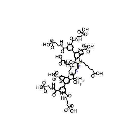 CC1(C)C(/C=C/C=C2/N(CCCCCC(=O)O)c3c(cc(-c4cc(C(=O)NCCS(=O)(=O)O)nc(C(=O)NCCS(=O)(=O)O)c4)c4sc(S(=O)(=O)O)cc34)C2(C)C)=[N+](CCCCCC(=O)O)c2c1cc(-c1cc(C(=O)NCCS(=O)(=O)O)nc(C(=O)NCCS(=O)(=O)O)c1)c1sc(S(=O)(=O)O)cc21